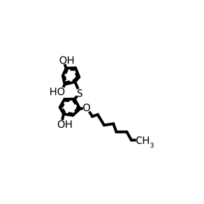 CCCCCCCCOc1cc(O)ccc1Sc1ccc(O)cc1O